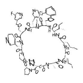 CCCC[C@@H]1NC(=O)[C@H](CCCC)NC(=O)[C@H](C)N(C)C(=O)C[C@@H](C(=O)N2CCCC2)NC(=O)[C@@H]2CCCN2C(=O)[C@H](Cc2cccnc2)N(C)C(=O)[C@H](COCc2cncc(F)c2)NC(=O)[C@H](Cc2cccnc2)N(C)C(=O)[C@H](COc2ccccc2Cl)NC(=O)[C@H]([C@@H](C)CC)NC1=O